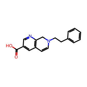 O=C(O)c1cnc2c(c1)C=CN(CCc1ccccc1)C2